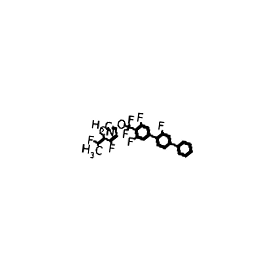 C=C(/C=C(F)\C(C#N)=C(/C)F)OC(F)(F)c1c(F)cc(-c2ccc(-c3ccccc3)cc2F)cc1F